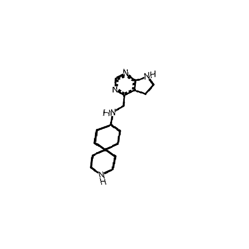 c1nc(CNC2CCC3(CCNCC3)CC2)c2c(n1)NCC2